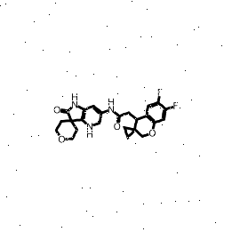 O=C(CC1c2cc(F)c(F)cc2OCC12CC2)NC1=CC2=C(NC1)C1(CCOCC1)C(=O)N2